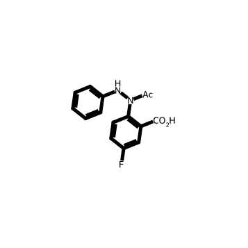 CC(=O)N(Nc1ccccc1)c1ccc(F)cc1C(=O)O